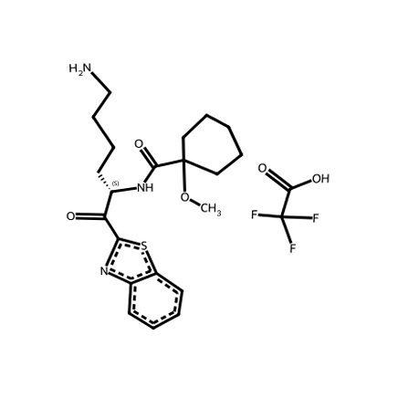 COC1(C(=O)N[C@@H](CCCCN)C(=O)c2nc3ccccc3s2)CCCCC1.O=C(O)C(F)(F)F